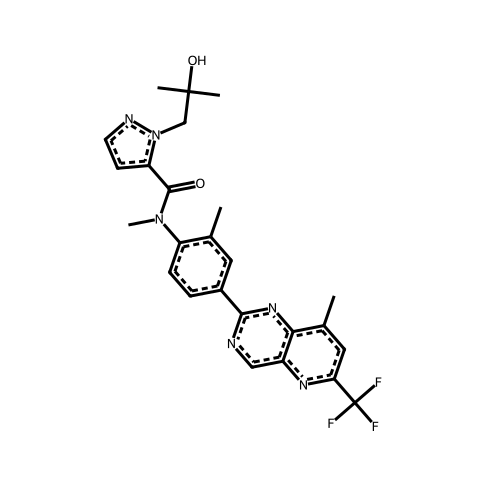 Cc1cc(-c2ncc3nc(C(F)(F)F)cc(C)c3n2)ccc1N(C)C(=O)c1ccnn1CC(C)(C)O